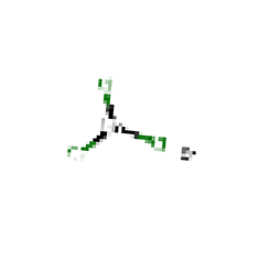 [Cl][Ho]([Cl])[Cl].[Er]